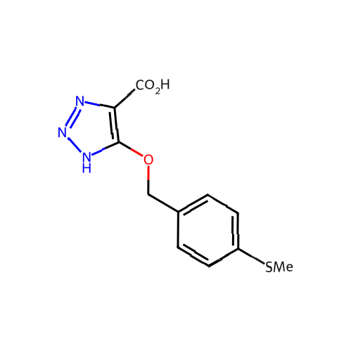 CSc1ccc(COc2[nH]nnc2C(=O)O)cc1